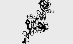 C=CCNC(=O)C(=O)C(CC1CCC1)NC(=O)[C@@H]1[C@@H]2[C@H](CN1C(=O)[C@@H](NC(=O)N[C@H](CN1CCN(C)S1(=O)=O)C(C)(C)C)C(C)(C)C)C2(C)C